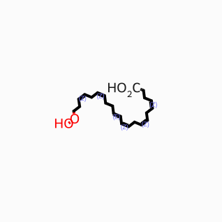 O=C(O)CC/C=C\C/C=C\C/C=C\C=C\CC/C=C\C/C=C\CCOO